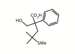 CSC(C)(C)CC(CO)(C(=O)O)c1ccccc1